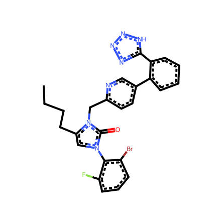 CCCCc1cn(-c2c(F)cccc2Br)c(=O)n1Cc1ccc(-c2ccccc2-c2nnn[nH]2)cn1